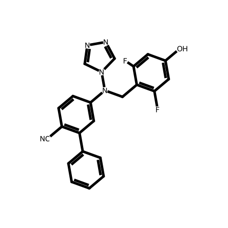 N#Cc1ccc(N(Cc2c(F)cc(O)cc2F)n2cnnc2)cc1-c1ccccc1